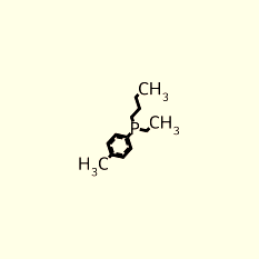 CCCCP(CC)c1ccc(C)cc1